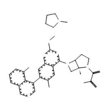 C=C(F)C(=O)N1CCC2[C@H]1CN2c1nc(OC[C@@H]2CCCN2C)nc2cc(-c3cncc4cccc(Cl)c34)c(F)cc12